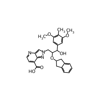 COc1cc(C(O)C(Cn2cc3nccc(C(=O)O)c3n2)OC2Cc3ccccc3C2)cc(OC)c1C